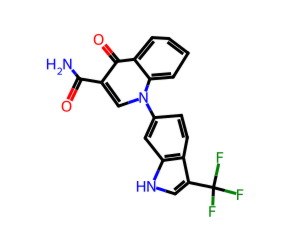 NC(=O)c1cn(-c2ccc3c(C(F)(F)F)c[nH]c3c2)c2ccccc2c1=O